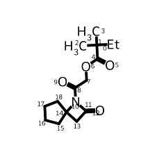 CCC(C)(C)C(=O)OCC(=O)N1C(=O)CC12CCCC2